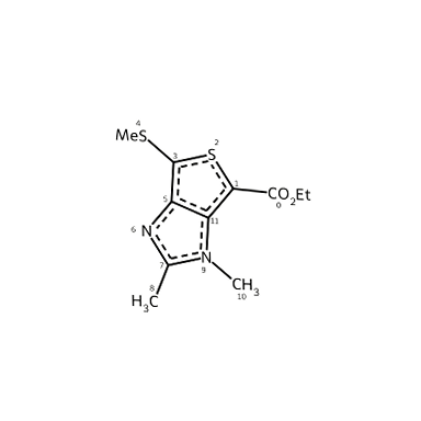 CCOC(=O)c1sc(SC)c2nc(C)n(C)c12